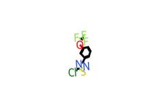 FC(F)(F)Oc1cccc(-c2nsc(Cl)n2)c1